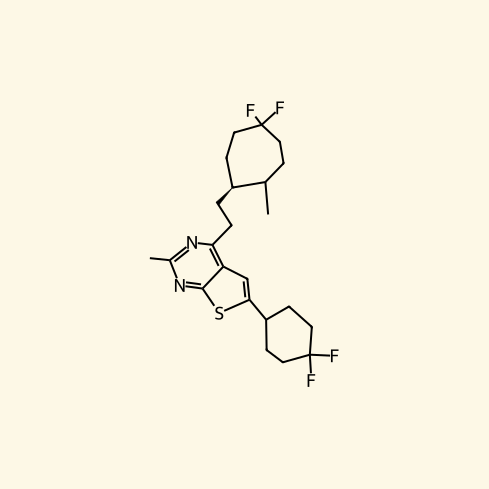 Cc1nc(CC[C@H]2CCC(F)(F)CCC2C)c2cc(C3CCC(F)(F)CC3)sc2n1